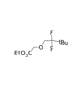 CCOC(=O)COCC(F)(F)C(C)(C)C